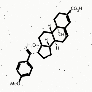 COc1ccc(C(=O)[C@H]2CC[C@H]3[C@@H]4CC=C5C=C(C(=O)O)CC[C@]5(C)[C@H]4CC[C@]23C)cc1